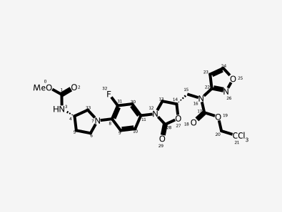 COC(=O)N[C@H]1CCN(c2ccc(N3C[C@H](CN(C(=O)OCC(Cl)(Cl)Cl)c4ccon4)OC3=O)cc2F)C1